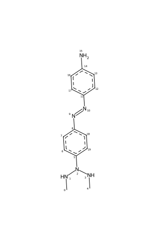 CNN(NC)c1ccc(/N=N/c2ccc(N)cc2)cc1